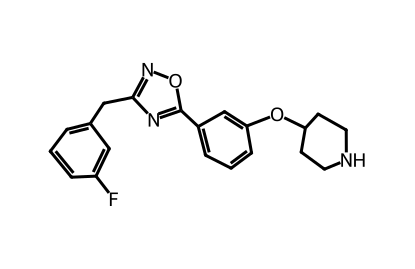 Fc1cccc(Cc2noc(-c3cccc(OC4CCNCC4)c3)n2)c1